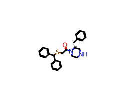 O=C(CSC(c1ccccc1)c1ccccc1)N1CCNC[C@H]1Cc1ccccc1